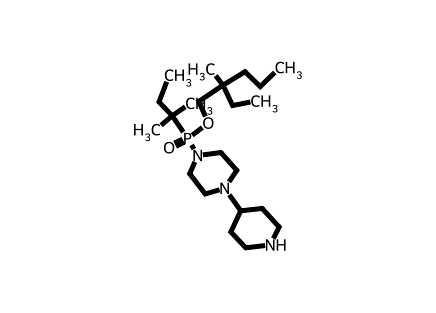 CCCC(C)(CC)COP(=O)(N1CCN(C2CCNCC2)CC1)C(C)(C)CC